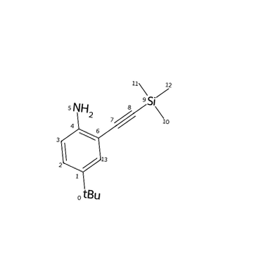 CC(C)(C)c1ccc(N)c(C#C[Si](C)(C)C)c1